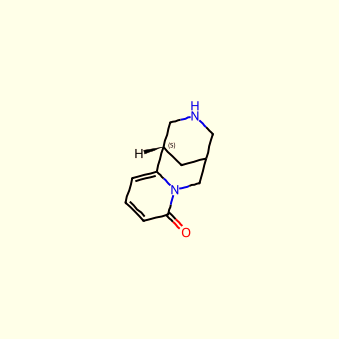 O=c1cccc2n1CC1CNC[C@@H]2C1